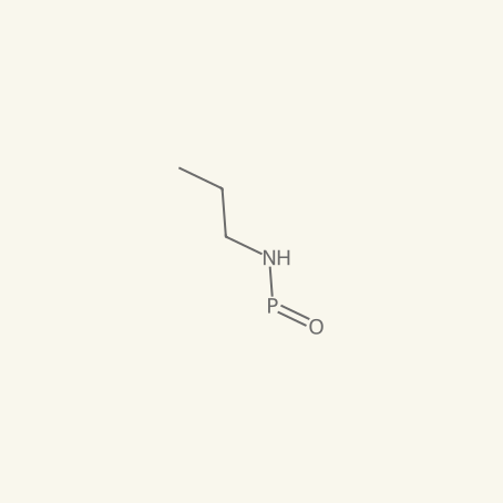 CCCNP=O